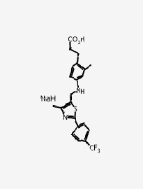 Cc1cc(NCc2sc(-c3ccc(C(F)(F)F)cc3)nc2C)ccc1CCC(=O)O.[NaH]